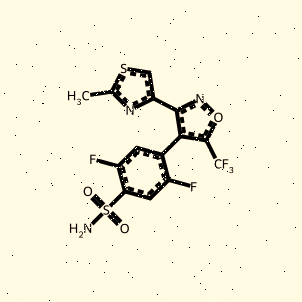 Cc1nc(-c2noc(C(F)(F)F)c2-c2cc(F)c(S(N)(=O)=O)cc2F)cs1